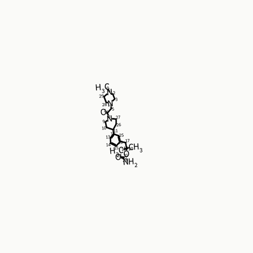 CN1CCN(CC(=O)N2CCC(c3cccc(CC(C)(C)OC(N)=O)c3)CC2)CC1